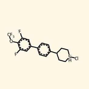 Fc1cc(-c2ccc(C3CC[SiH](Cl)CC3)cc2)cc(F)c1OC(F)(F)F